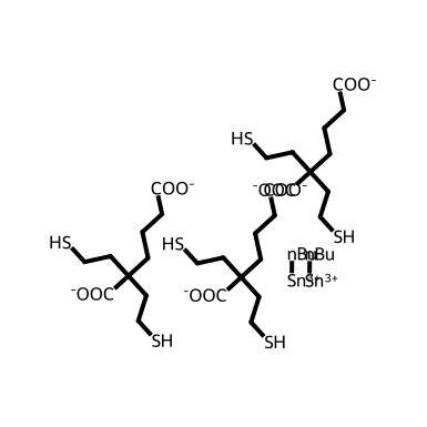 CCC[CH2][Sn+3].CCC[CH2][Sn+3].O=C([O-])CCCC(CCS)(CCS)C(=O)[O-].O=C([O-])CCCC(CCS)(CCS)C(=O)[O-].O=C([O-])CCCC(CCS)(CCS)C(=O)[O-]